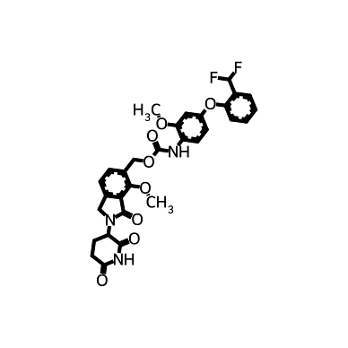 COc1cc(Oc2ccccc2C(F)F)ccc1NC(=O)OCc1ccc2c(c1OC)C(=O)N(C1CCC(=O)NC1=O)C2